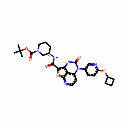 CC(C)(C)OC(=O)N1CCC[C@@H](NC(=O)c2sc3nccc4c3c2NC(=O)N4c2ccc(OC3CCC3)nc2)C1